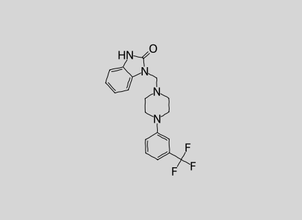 O=c1[nH]c2ccccc2n1CN1CCN(c2cccc(C(F)(F)F)c2)CC1